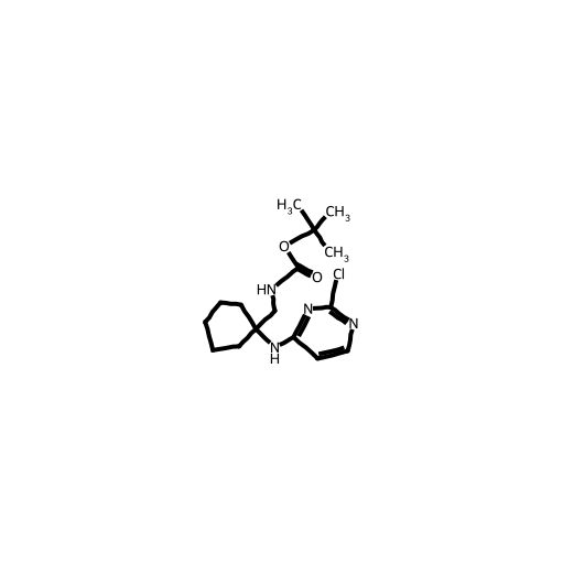 CC(C)(C)OC(=O)NCC1(Nc2ccnc(Cl)n2)CCCCC1